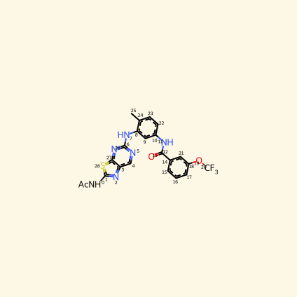 CC(=O)Nc1nc2cnc(Nc3cc(NC(=O)c4cccc(OC(F)(F)F)c4)ccc3C)nc2s1